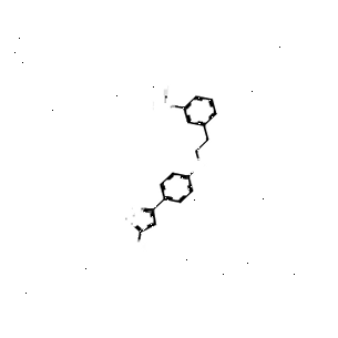 CC(C)Nc1cccc(CCOc2ccc(-c3cc(O)no3)cc2)c1